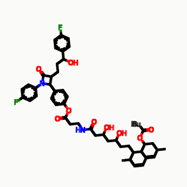 CCC(C)C(=O)OC1CC(C)C=C2C=CC(C)C(CCC(O)CC(O)CC(=O)NCCC(=O)Oc3ccc(C4C(CCC(O)c5ccc(F)cc5)C(=O)N4c4ccc(F)cc4)cc3)C21